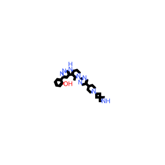 CC1c2c([nH]c3nnc(-c4ccccc4O)cc23)CCN1c1ncc(C2CCN(C3CC4(CNC4)C3)CC2)cn1